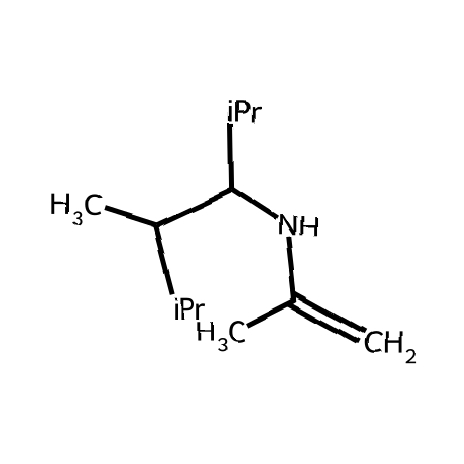 C=C(C)NC(C(C)C)C(C)C(C)C